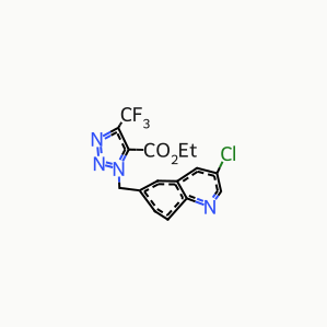 CCOC(=O)c1c(C(F)(F)F)nnn1Cc1ccc2ncc(Cl)cc2c1